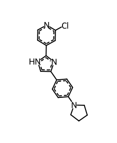 Clc1cc(-c2nc(-c3ccc(N4CCCC4)cc3)c[nH]2)ccn1